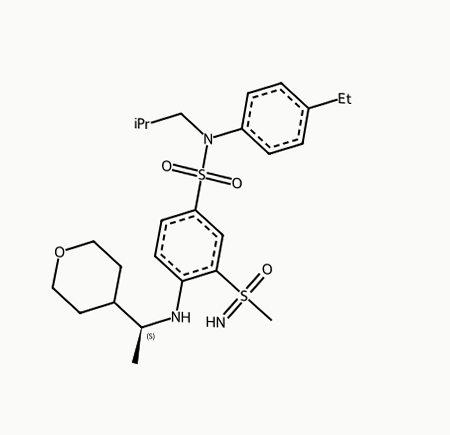 CCc1ccc(N(CC(C)C)S(=O)(=O)c2ccc(N[C@@H](C)C3CCOCC3)c(S(C)(=N)=O)c2)cc1